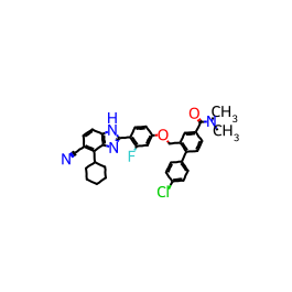 CN(C)C(=O)c1ccc(-c2ccc(Cl)cc2)c(COc2ccc(-c3nc4c(C5CCCCC5)c(C#N)ccc4[nH]3)c(F)c2)c1